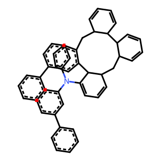 C1=CC2CC3C=CC=CC3C3C=CC=CC3Cc3ccccc3C2C(N(c2cccc(-c3ccccc3)c2)c2ccccc2-c2ccccc2)=C1